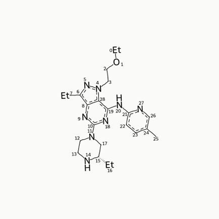 CCOCCn1nc(CC)c2nc(N3CCN[C@@H](CC)C3)nc(Nc3ccc(C)cn3)c21